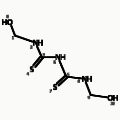 OCNC(=S)NC(=S)NCO